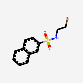 O=S(=O)(NCCBr)c1ccc2ccccc2c1